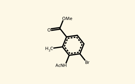 COC(=O)c1ccc(Br)c(NC(C)=O)c1C